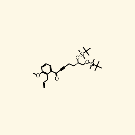 C=CCc1c(OC)cccc1C(=O)C#CCC[C@H](CO[Si](C)(C)C(C)(C)C)O[Si](C)(C)C(C)(C)C